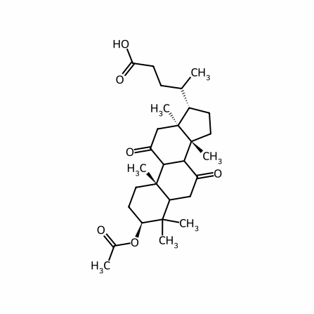 CC(=O)O[C@H]1CC[C@]2(C)C3C(=O)C[C@@]4(C)[C@H](C(C)CCC(=O)O)CC[C@]4(C)C3C(=O)CC2C1(C)C